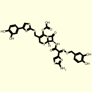 Nc1nc(C(=NOCc2ccc(O)c(O)c2)C(=O)N[C@@H]2C(=O)N3C(OC(=O)O)=C(CSc4nc(-c5ccc(O)c(O)c5)cs4)CS[C@@H]23)cs1